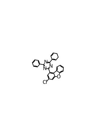 Clc1cc(-c2nc(C3=CCCC=C3)nc(-c3ccccc3)n2)c2c(c1)oc1ccccc12